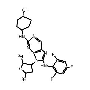 [2H]C1CC(n2c(Nc3c(F)cc(F)cc3F)nc3cnc(NC4CCC(O)CC4)nc32)C([2H])O1